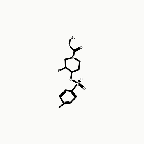 Cc1ccc(S(=O)(=O)OC2CCN(C(=O)OC(C)(C)C)CC2F)cc1